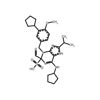 COc1ccc(CN2c3nc(C(C)C)[nH]c3C(NC3CCCC3)=NC2(C=O)S(=O)(=O)O)cc1C1CCCC1